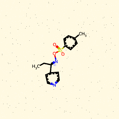 CC/C(=N\OS(=O)(=O)c1ccc(C)cc1)c1ccncc1